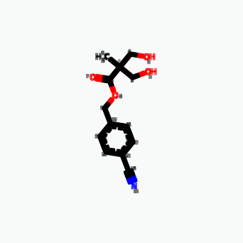 CC(CO)(CO)C(=O)OCc1ccc(C#N)cc1